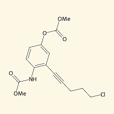 COC(=O)Nc1ccc(OC(=O)OC)cc1C#CCCCCl